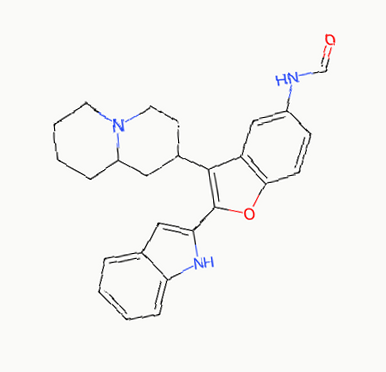 O=CNc1ccc2oc(-c3cc4ccccc4[nH]3)c(C3CCN4CCCCC4C3)c2c1